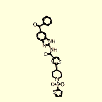 O=C(c1ccccc1)c1ccc2nc(NC(=O)c3csc(C4CCN(S(=O)(=O)c5cccs5)CC4)n3)[nH]c2c1